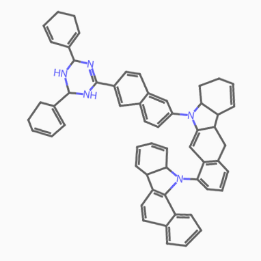 C1=CCCC(C2NC(c3ccc4cc(N5C6=Cc7c(cccc7N7c8c(ccc9ccccc89)C8C=CC=CC87)CC6C6C=CCCC65)ccc4c3)=NC(C3=CCCC=C3)N2)=C1